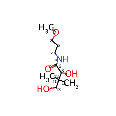 COCCCNC(=O)C(O)C(C)(C)CO